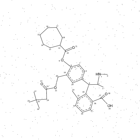 CNC(C)C(c1ccc(OC(=O)C2CCCCCC2)c(COC(=O)CC(C)(C)C)c1)c1c(C)cccc1C(=O)O